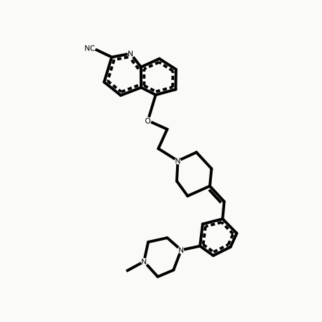 CN1CCN(c2cccc(C=C3CCN(CCOc4cccc5nc(C#N)ccc45)CC3)c2)CC1